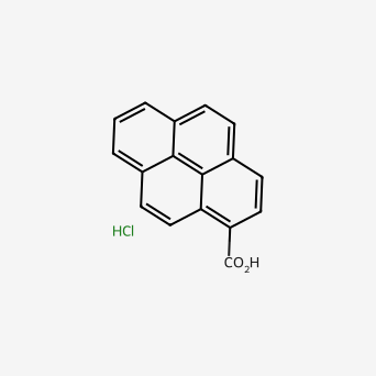 Cl.O=C(O)c1ccc2ccc3cccc4ccc1c2c34